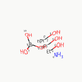 CCCO.CCCO.CCO.N.OB(O)O